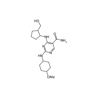 COC1CCC(Nc2ncc(C(N)=O)c(NC3CCCC3CO)n2)CC1